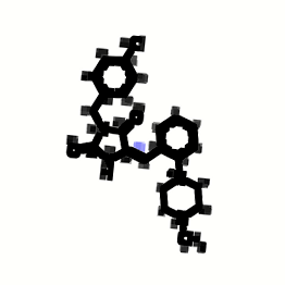 CN1CCN(c2ccccc2/C=C2/NC(=O)N(Cc3ccc(Cl)cc3)C2=O)CC1